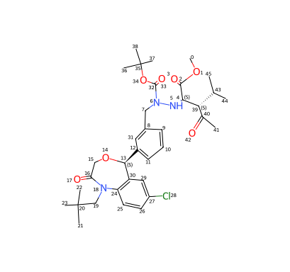 COC(=O)[C@@H](NN(Cc1cccc([C@@H]2OCC(=O)N(CC(C)(C)C)c3ccc(Cl)cc32)c1)C(=O)OC(C)(C)C)[C@@H](C(C)=O)C(C)C